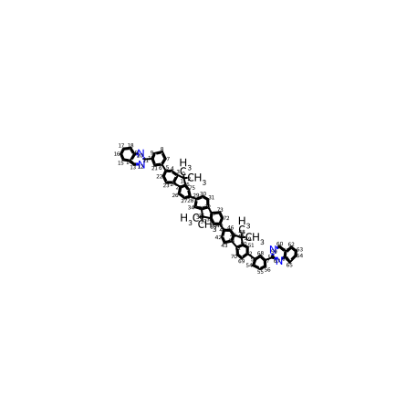 CC1(C)c2cc(-c3cccc(-c4ncc5ccccc5n4)c3)ccc2-c2ccc(-c3ccc4c(c3)C(C)(C)c3cc(-c5ccc6c(c5)C(C)(C)c5cc(-c7cccc(-c8ncc9ccccc9n8)c7)ccc5-6)ccc3-4)cc21